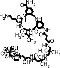 CCC(C)[C@@H]1NC(=O)c2cc(NC(=O)CCC(=O)NCC(C)(C)COCC(C)(C)CC(=O)NCC(O)C[n+]3ccn(CC(O)(P(=O)(O)O)P(=O)(O)O)c3)ccc2NCc2ccc(C(N)=O)cc2NC(=O)[C@H](CCCCN)NC1=O